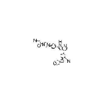 N#CCC(=O)N1CCN(c2ccc(-c3cc4c(C5=CC=C(OC6CCOCC6)C(C#N)C5)ccnc4[nH]3)cc2)CC1